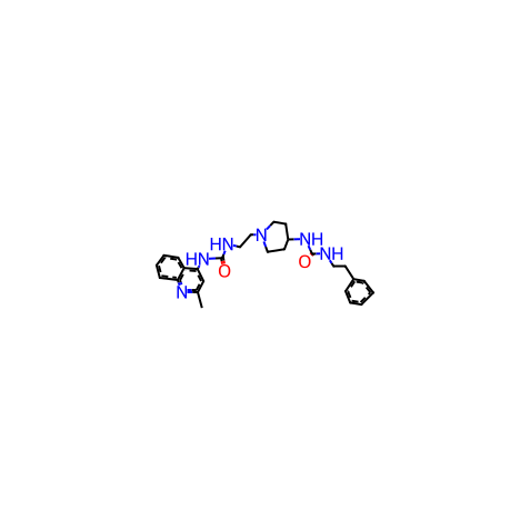 Cc1cc(NC(=O)NCCN2CCC(NC(=O)NCCc3ccccc3)CC2)c2ccccc2n1